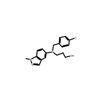 Cn1ncc2cc(N(CCCO)Cc3ccc(Cl)cc3)ccc21